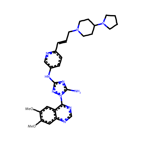 COc1cc2ncnc(-n3nc(Nc4ccc(C=CCN5CCC(N6CCCC6)CC5)nc4)nc3N)c2cc1OC